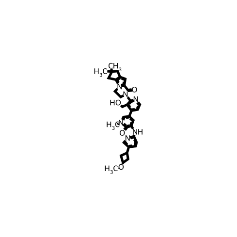 COC1CC(c2ccc(Nc3cc(-c4ccnc(N5CCn6c(cc7c6CC(C)(C)C7)C5=O)c4CO)cn(C)c3=O)nc2)C1